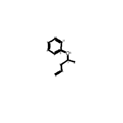 C=CCC(C)Oc1ccccc1